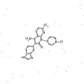 Nc1c(-c2ccc3[nH]cnc3c2)c(=O)n(-c2ccc(Cl)cc2)c2nc(C(F)(F)F)ccc12